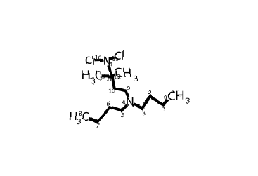 CCCCN(CCCC)CCC(C)(C)N(Cl)Cl